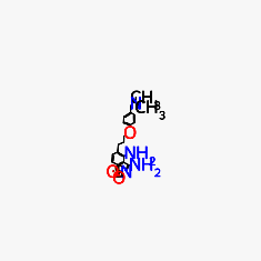 CN(C)Cc1ccc(OCCCc2ccc3c(c2N)C(N)=NS3(=O)=O)cc1